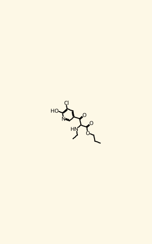 CCCOC(=O)C(NCC)C(=O)c1cnc(O)c(Cl)c1